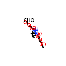 C=CC(=O)OCCOCCOC(=O)NC1CC(C)(C)CC(C)(CNC(=O)OCCOCCOC=O)C1